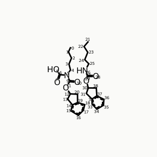 CCCCCN(C(=O)O)C(=O)OC1Cc2ccccc2C1.CCCCCNC(=O)OC1Cc2ccccc2C1